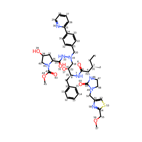 CC[C@H](C)[C@@H](C(=O)N[C@@H](Cc1ccccc1)[C@@H](O)CN(Cc1ccc(-c2ccccn2)cc1)NC(=O)C1CC(O)CN1C(=O)OC)N1CCN(Cc2csc(COC)n2)C1=O